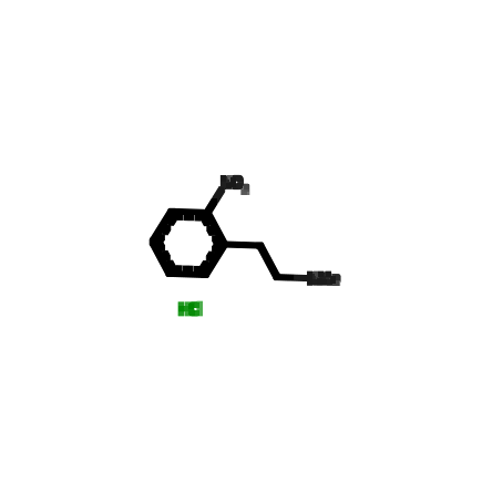 CNCCc1ccccc1[N+](=O)[O-].Cl